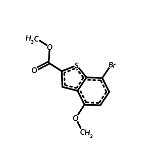 COC(=O)c1cc2c(OC)ccc(Br)c2s1